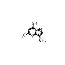 Cc1cc(S)n2ncc(C)c2n1